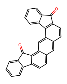 O=c1c2ccccc2c2c1ccc1cc3ccc4c5ccccc5c(=O)c4c3cc12